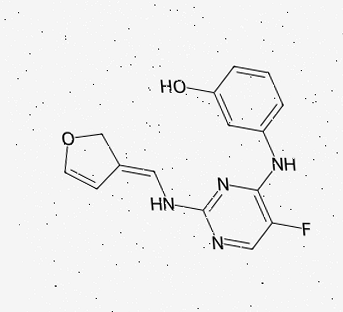 Oc1cccc(Nc2nc(NC=C3C=COC3)ncc2F)c1